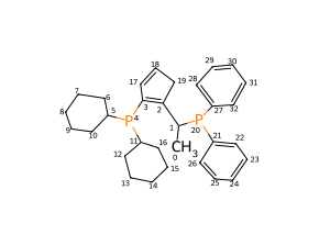 CC(C1=C(P(C2CCCCC2)C2CCCCC2)C=CC1)P(c1ccccc1)c1ccccc1